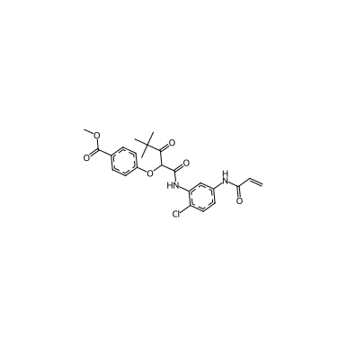 C=CC(=O)Nc1ccc(Cl)c(NC(=O)C(Oc2ccc(C(=O)OC)cc2)C(=O)C(C)(C)C)c1